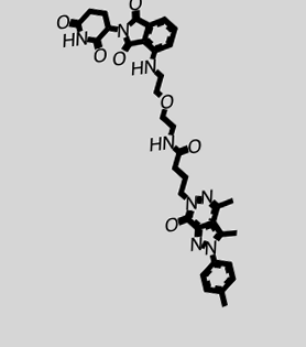 Cc1ccc(-n2nc3c(=O)n(CCCC(=O)NCCOCCNc4cccc5c4C(=O)N(C4CCC(=O)NC4=O)C5=O)nc(C)c3c2C)cc1